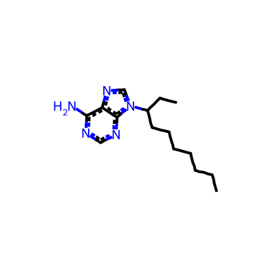 CCCCCCCC(CC)n1cnc2c(N)ncnc21